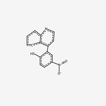 O=[N+]([O-])c1ccc(S)c(-c2ccnc3ccccc23)c1